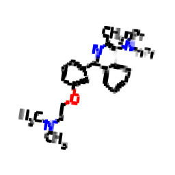 CCCN(CCC)c1c(C)nc(-c2cccc(OCCN(C)C)c2)c2ccccc12